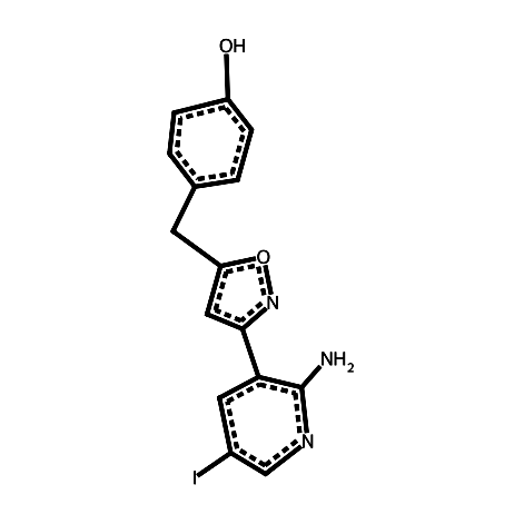 Nc1ncc(I)cc1-c1cc(Cc2ccc(O)cc2)on1